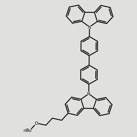 CCCCOCCCc1ccc2c(c1)c1ccccc1n2-c1ccc(-c2ccc(-n3c4ccccc4c4ccccc43)cc2)cc1